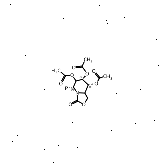 CC(=O)OC1[C@@H](OC(C)=O)[C@H](OC(C)=O)C2COC(=O)N2[C@@H]1F